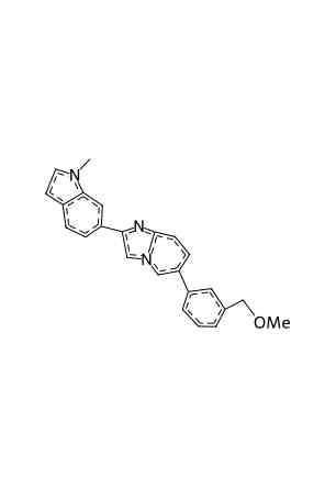 COCc1cccc(-c2ccc3nc(-c4ccc5ccn(C)c5c4)cn3c2)c1